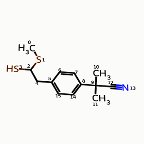 CSC(S)Cc1ccc(C(C)(C)C#N)cc1